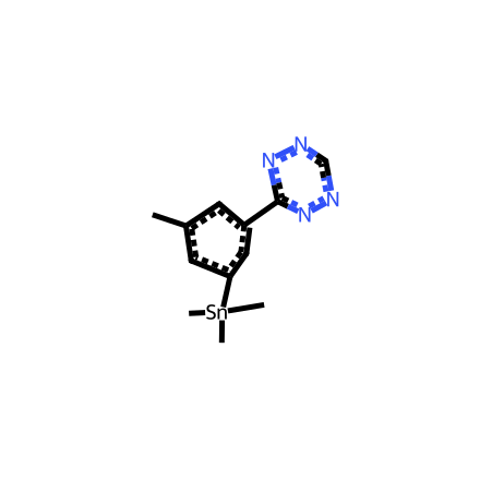 Cc1cc(-c2nncnn2)c[c]([Sn]([CH3])([CH3])[CH3])c1